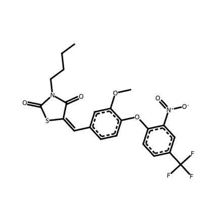 CCCCN1C(=O)S/C(=C/c2ccc(Oc3ccc(C(F)(F)F)cc3[N+](=O)[O-])c(OC)c2)C1=O